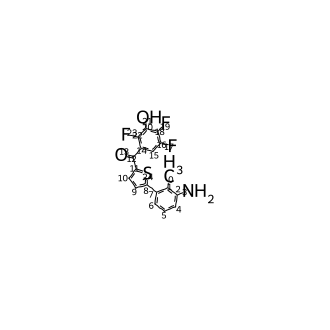 Cc1c(N)cccc1-c1ccc(C(=O)c2cc(F)c(F)c(O)c2F)s1